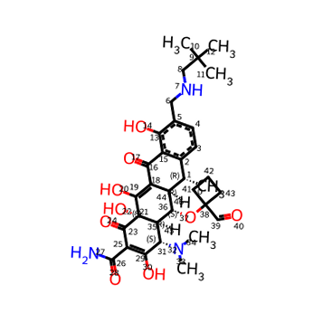 C[C@H]1c2ccc(CNCC(C)(C)C)c(O)c2C(=O)C2=C(O)[C@]3(O)C(=O)C(C(N)=O)=C(O)[C@@H](N(C)C)[C@@H]3[C@@H](OC3(C=O)CCC3)[C@@H]21